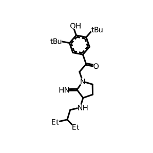 CCC(CC)CNC1CCN(CC(=O)c2cc(C(C)(C)C)c(O)c(C(C)(C)C)c2)C1=N